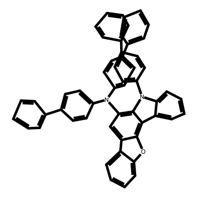 c1ccc(-c2ccc(N(c3ccc(-c4ccccc4)cc3)c3cc4c5ccccc5oc4c4c5ccccc5n(-c5ccc(-c6ccccc6)cc5)c34)cc2)cc1